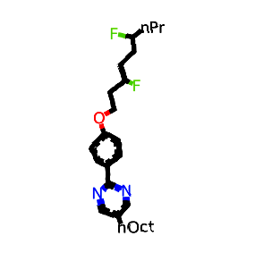 CCCCCCCCc1cnc(-c2ccc(OCCC(F)CCC(F)CCC)cc2)nc1